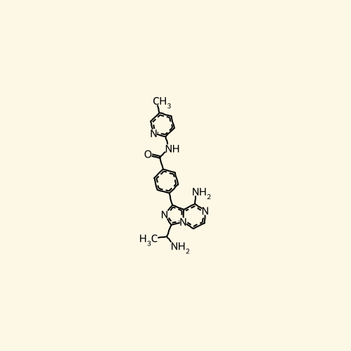 Cc1ccc(NC(=O)c2ccc(-c3nc(C(C)N)n4ccnc(N)c34)cc2)nc1